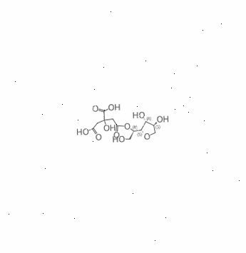 O=C(O)CC(O)(CC(=O)O[C@H](CO)[C@H]1OC[C@H](O)[C@H]1O)C(=O)O